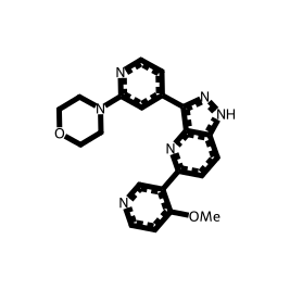 COc1ccncc1-c1ccc2[nH]nc(-c3ccnc(N4CCOCC4)c3)c2n1